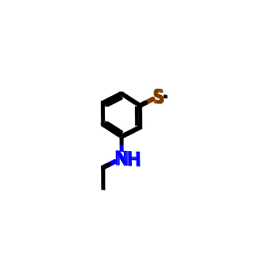 CCNc1cccc([S])c1